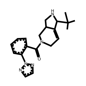 CC(C)(C)C1NCC2CN(C(=O)c3ccccc3-n3nccn3)CC=C21